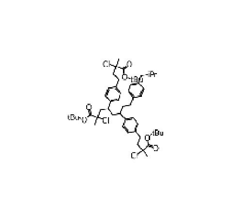 CC(C)Cc1ccc(CCC(CC(CC(C)(Cl)C(=O)OC(C)(C)C)c2ccc(CCC(C)(Cl)C(=O)OC(C)(C)C)cc2)c2ccc(CCC(C)(Cl)C(=O)OC(C)(C)C)cc2)cc1